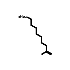 C=C(C)C[CH]CCCCCCCCCCC